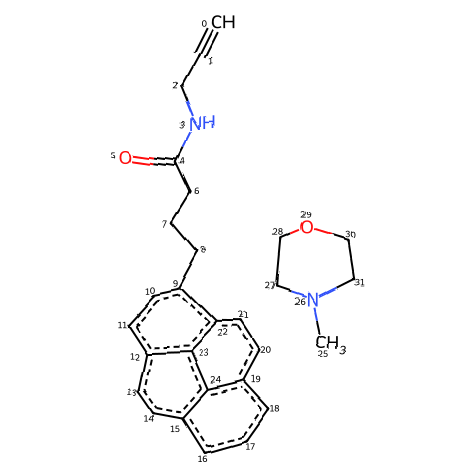 C#CCNC(=O)CCCc1ccc2ccc3cccc4ccc1c2c34.CN1CCOCC1